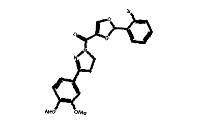 COc1ccc(C2=NN(C(=O)C3=COC(c4ccccc4Br)O3)CC2)cc1OC